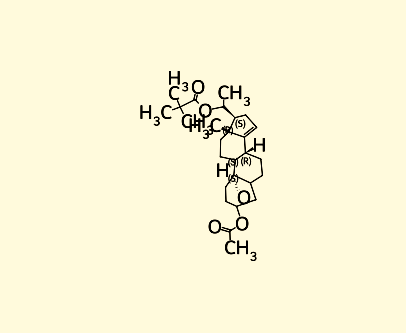 CC(=O)OC1CC[C@]2(C=O)C(CC[C@H]3C4=CC[C@H](C(C)OC(=O)C(C)(C)C)[C@@]4(C)CC[C@@H]32)C1